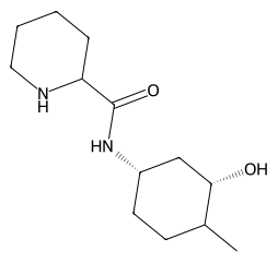 CC1CC[C@H](NC(=O)C2CCCCN2)C[C@@H]1O